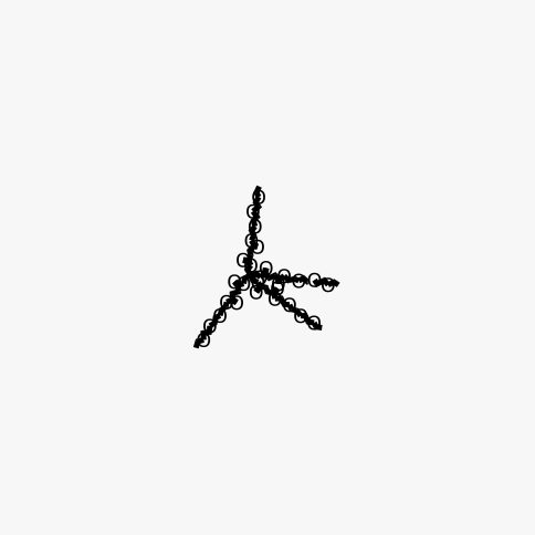 CCOCCOCCOCCOC(=O)CCC(=O)OCC(COC(=O)CCC(=O)OCCOCCOCCOCC)(COC(=O)CCC(=O)OCCOCCOCCOCC)COC(=O)CCC(=O)OCCOCCOCCOCC